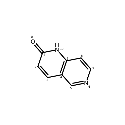 O=c1ccc2cn[c]cc2[nH]1